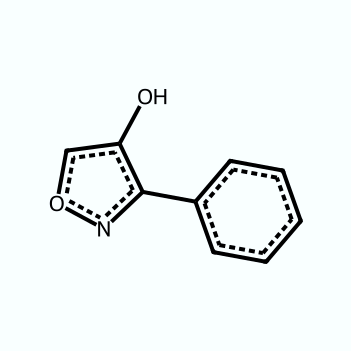 Oc1conc1-c1ccccc1